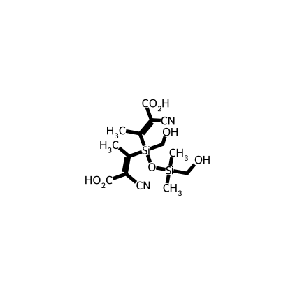 CC(=C(C#N)C(=O)O)[Si](CO)(O[Si](C)(C)CO)C(C)=C(C#N)C(=O)O